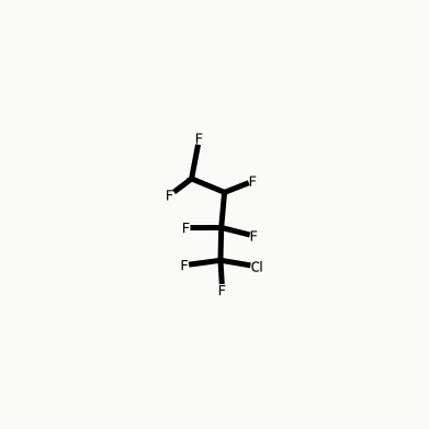 F[C](F)C(F)C(F)(F)C(F)(F)Cl